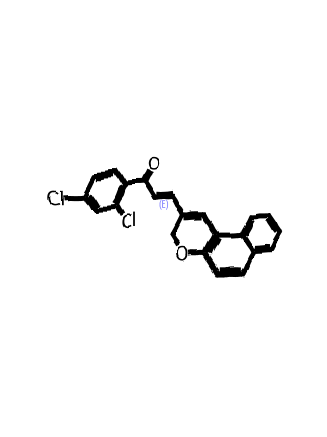 O=C(/C=C/C1=Cc2c(ccc3ccccc23)OC1)c1ccc(Cl)cc1Cl